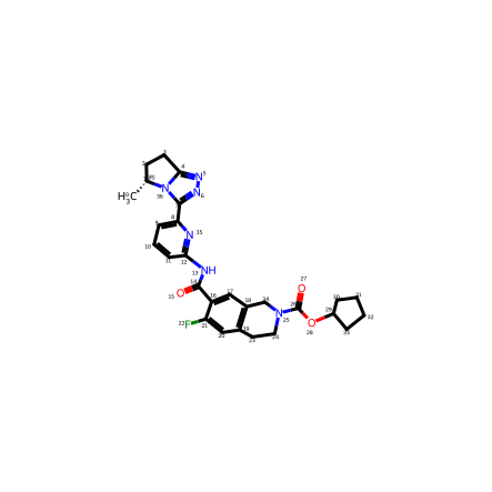 C[C@@H]1CCc2nnc(-c3cccc(NC(=O)c4cc5c(cc4F)CCN(C(=O)OC4CCCC4)C5)n3)n21